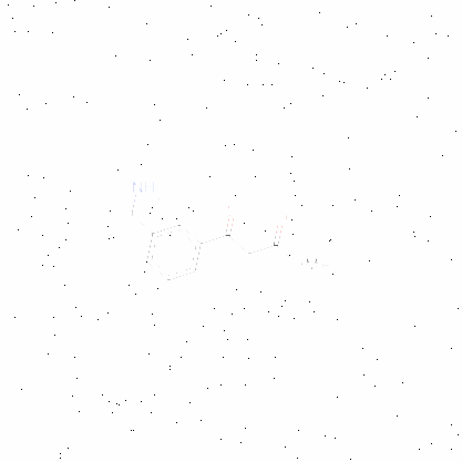 COC(=O)CC(=O)c1cccc(CN)c1